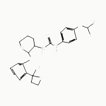 O=C(Nc1ccc(OC(F)F)cc1)NC1CCCNC1Oc1ccccc1C1(C(F)(F)F)CCO1